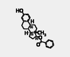 C[C@]12CC[C@@H]3c4ccc(O)cc4CCC3[C@@H]1CC[C@@H]2OC(=O)c1ccccc1